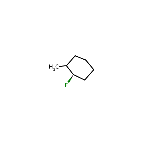 CC1CCCC[C@H]1F